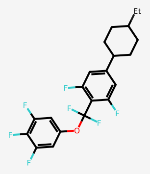 CCC1CCC(c2cc(F)c(C(F)(F)Oc3cc(F)c(F)c(F)c3)c(F)c2)CC1